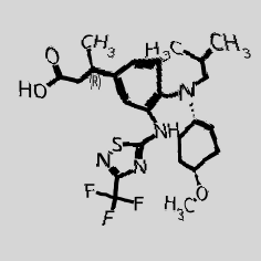 CO[C@H]1CC[C@H](N(CC(C)C)c2ccc([C@H](C)CC(=O)O)cc2Nc2nc(C(F)(F)F)ns2)CC1